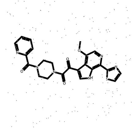 COc1cnc(-c2nccs2)c2[nH]cc(C(=O)C(=O)N3CCN(C(=O)c4ccccn4)CC3)c12